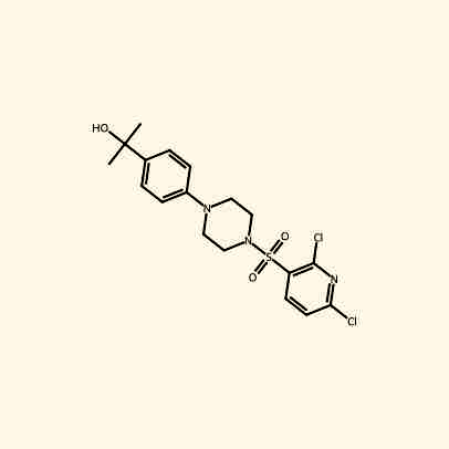 CC(C)(O)c1ccc(N2CCN(S(=O)(=O)c3ccc(Cl)nc3Cl)CC2)cc1